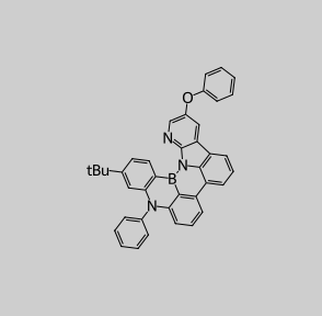 CC(C)(C)c1ccc2c(c1)N(c1ccccc1)c1cccc3c1B2n1c2ncc(Oc4ccccc4)cc2c2cccc-3c21